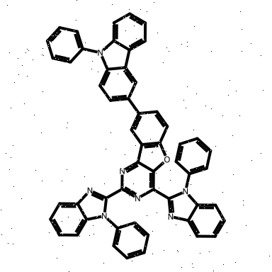 c1ccc(-n2c(-c3nc(-c4nc5ccccc5n4-c4ccccc4)c4oc5ccc(-c6ccc7c(c6)c6ccccc6n7-c6ccccc6)cc5c4n3)nc3ccccc32)cc1